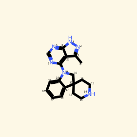 Cc1n[nH]c2ncnc(N3CC4(CCNCC4)c4ccccc43)c12